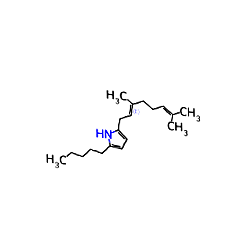 CCCCCc1ccc(C/C=C(\C)CCC=C(C)C)[nH]1